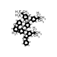 Cc1cc2c3c(c1)-n1c4sc5ccccc5c4c4cc(C(C)(C)C)cc(c41)B3c1ccc(N(c3ccc(C(C)(C)C)cc3C)c3ccc(C(C)(C)C)cc3C)cc1N2c1cccc2oc3ccccc3c12